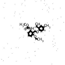 CCOc1cccc(NC(=S)OC)c1COc1ccc(C)cc1CC